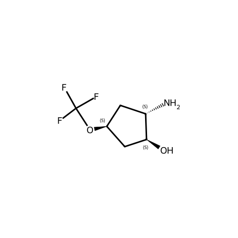 N[C@H]1C[C@H](OC(F)(F)F)C[C@@H]1O